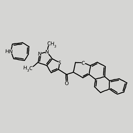 C1=CC=CNC=C1.Cc1nn(C)c2sc(C(=O)C3C=c4c(ccc5c4=CCc4ccccc4-5)CC3)cc12